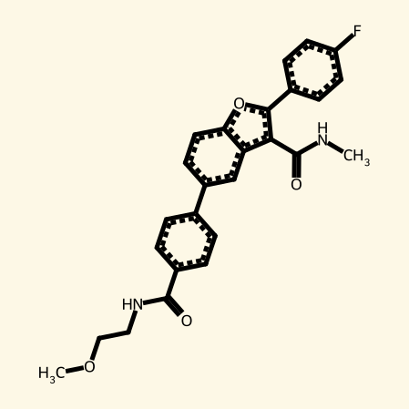 CNC(=O)c1c(-c2ccc(F)cc2)oc2ccc(-c3ccc(C(=O)NCCOC)cc3)cc12